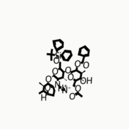 CC(=O)OCC1O[C@@H](O[C@@H]2C(CO[Si](c3ccccc3)(c3ccccc3)C(C)(C)C)O[C@@H](OC3C4CC[C@H](O4)C(C)[C@H]3C)C(N=[N+]=[N-])[C@H]2C)C(OC(=O)c2ccccc2)[C@@H](C)[C@@H]1O